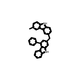 Cc1ccc2[nH]c3ccc(Cc4cc(-c5ccccc5)c5c(c4)[nH]c4ccccc45)cc3c2c1